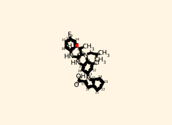 CC(C)CN(CC(C)C)c1c(Cl)cc(-n2c(C(=O)O)cc3ccccc32)cc1NC(=O)Nc1ccc(F)cc1